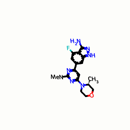 CNc1nc(-c2cc(F)c3c(N)n[nH]c3c2)cc(N2CCOC[C@H]2C)n1